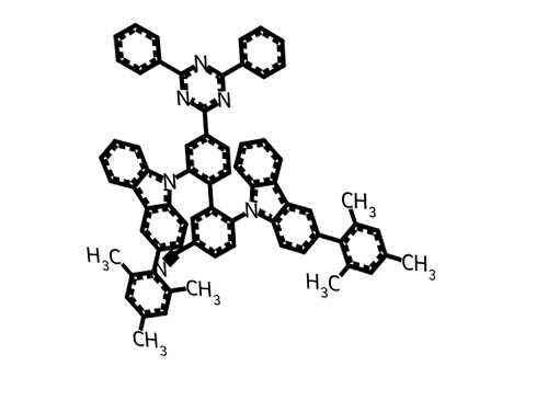 Cc1cc(C)c(-c2ccc3c(c2)c2ccccc2n3-c2ccc(C#N)cc2-c2ccc(-c3nc(-c4ccccc4)nc(-c4ccccc4)n3)cc2-n2c3ccccc3c3cc(-c4c(C)cc(C)cc4C)ccc32)c(C)c1